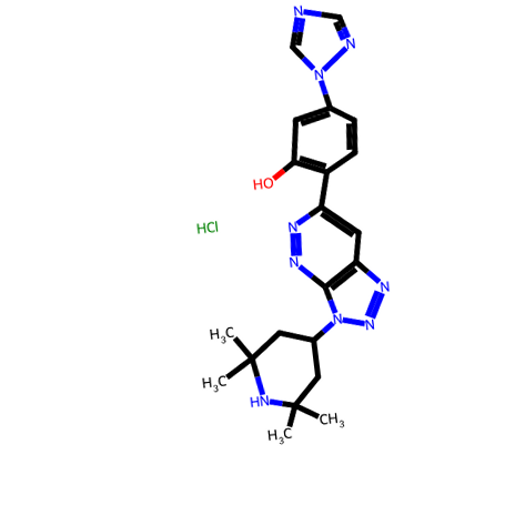 CC1(C)CC(n2nnc3cc(-c4ccc(-n5cncn5)cc4O)nnc32)CC(C)(C)N1.Cl